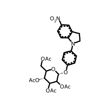 CC(=O)OCC1O[C@H](Oc2ccc(N3CCc4cc([N+](=O)[O-])ccc43)cc2)C(OC(C)=O)C(OC(C)=O)[C@@H]1OC(C)=O